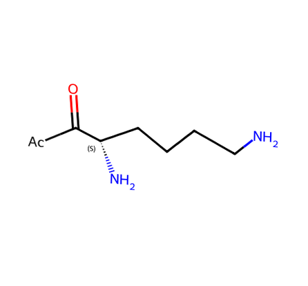 CC(=O)C(=O)[C@@H](N)CCCCN